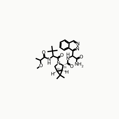 COC(C)C(=O)NC(C(=O)N1C[C@H]2[C@@H]([C@H]1C(=O)NC(C(N)=O)c1nncc3ccccc13)C2(C)C)C(C)(C)C